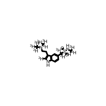 [2H]c1[nH]c2ccc(C([2H])([2H])S(=O)(=O)NC([2H])([2H])[2H])cc2c1CCN(C([2H])([2H])[2H])C([2H])([2H])[2H]